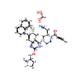 CC#CC(=O)N1CCN(c2nc(OCC3CCCN3C)nc3c2CCC(c2cccc4cccc(Cl)c24)=C3)CC1CC#N.O=CO